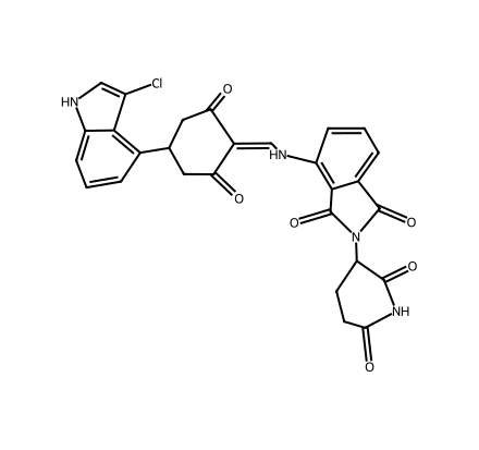 O=C1CCC(N2C(=O)c3cccc(NC=C4C(=O)CC(c5cccc6[nH]cc(Cl)c56)CC4=O)c3C2=O)C(=O)N1